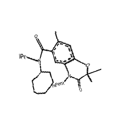 CCCCCN1C(=O)C(C)(C)Oc2cc(C)c(C(=O)N(C(C)C)C3CCCCC3)cc21